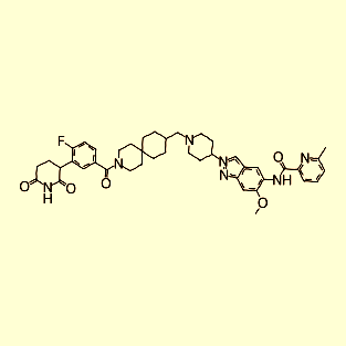 COc1cc2nn(C3CCN(CC4CCC5(CC4)CCN(C(=O)c4ccc(F)c(C6CCC(=O)NC6=O)c4)CC5)CC3)cc2cc1NC(=O)c1cccc(C)n1